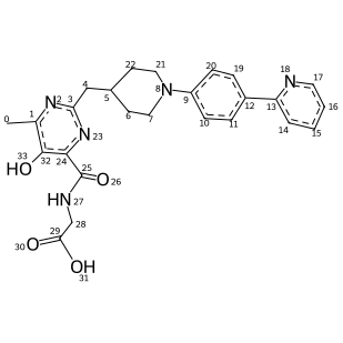 Cc1nc(CC2CCN(c3ccc(-c4ccccn4)cc3)CC2)nc(C(=O)NCC(=O)O)c1O